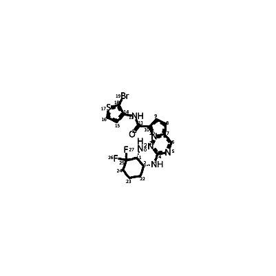 N[C@@H]1[C@H](Nc2ncc3ccc(C(=O)Nc4ccsc4Br)n3n2)CCCC1(F)F